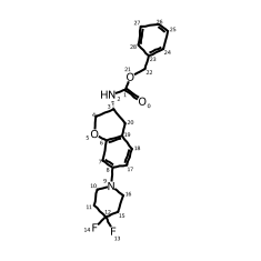 O=C(N[C@H]1COc2cc(N3CCC(F)(F)CC3)ccc2C1)OCc1ccccc1